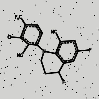 N#Cc1cc(F)cc2c1N(c1ccc(C(F)(F)F)c(Cl)c1C#N)CCC2F